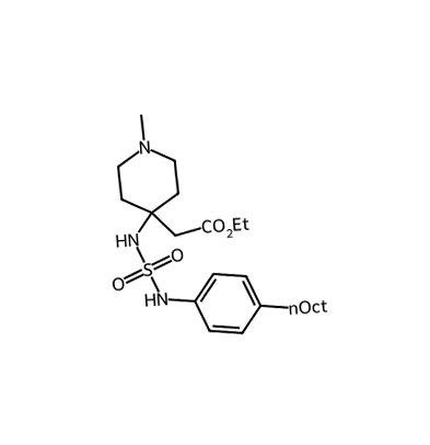 CCCCCCCCc1ccc(NS(=O)(=O)NC2(CC(=O)OCC)CCN(C)CC2)cc1